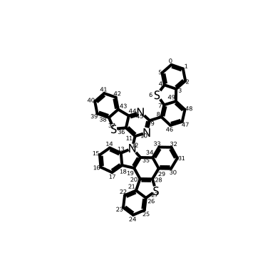 c1ccc2c(c1)sc1c(-c3nc(-n4c5ccccc5c5c6c7ccccc7sc6c6ccccc6c54)c4sc5ccccc5c4n3)cccc12